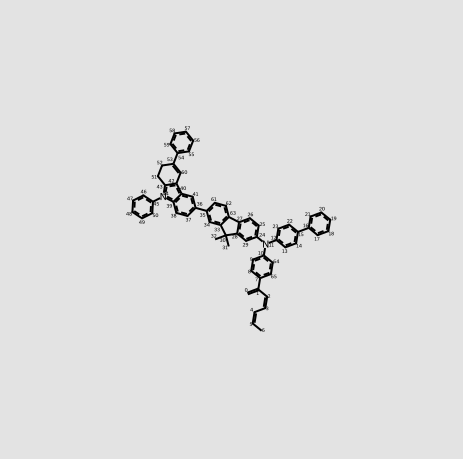 C=C(/C=C\C=C/C)c1ccc(N(c2ccc(-c3ccccc3)cc2)c2ccc3c(c2)C(C)(C)c2cc(-c4ccc5c(c4)c4c(n5-c5ccccc5)CCC(c5ccccc5)=C4)ccc2-3)cc1